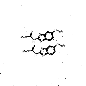 CCCOc1ccc2nc(NC(=O)OC)sc2c1.CCCOc1ccc2nc(NC(=O)OC)sc2c1